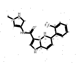 CN1C=C(NC(=O)C2=CNC3C=CC(c4ccccc4C(F)(F)F)NN23)CN1